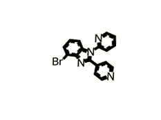 Brc1cccc2c1nc(-c1ccncc1)n2-c1ccccn1